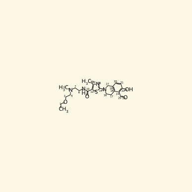 CCOCCN(C)CCNC(=O)c1sc(N2CCc3c(ccc(O)c3C=O)C2)nc1C